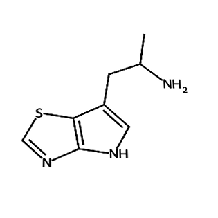 CC(N)Cc1c[nH]c2ncsc12